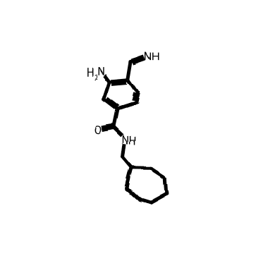 N=Cc1ccc(C(=O)NCC2CCCCCC2)cc1N